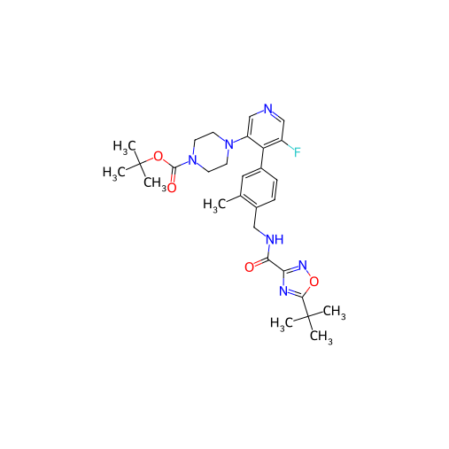 Cc1cc(-c2c(F)cncc2N2CCN(C(=O)OC(C)(C)C)CC2)ccc1CNC(=O)c1noc(C(C)(C)C)n1